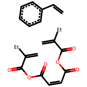 C=C(CC)C(=O)OC(=O)/C=C\C(=O)OC(=O)C(=C)CC.C=Cc1ccccc1